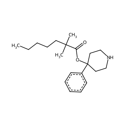 CCCCCC(C)(C)C(=O)OC1(c2ccccc2)CCNCC1